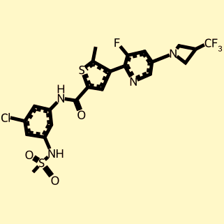 Cc1sc(C(=O)Nc2cc(Cl)cc(NS(C)(=O)=O)c2)cc1-c1ncc(N2CC(C(F)(F)F)C2)cc1F